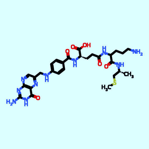 CSC[C@@H](C)NC(=O)C(CCCN)NC(=O)CC[C@H](NC(=O)c1ccc(NCc2cnc3nc(N)[nH]c(=O)c3n2)cc1)C(=O)O